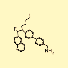 CCCCCC(c1ccc(-c2ccc(CN)cc2)cc1)C(F)c1ccc2ccccc2c1